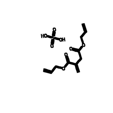 C=CCOC(=O)CC(=C)C(=O)OCC=C.O=S(=O)(O)O